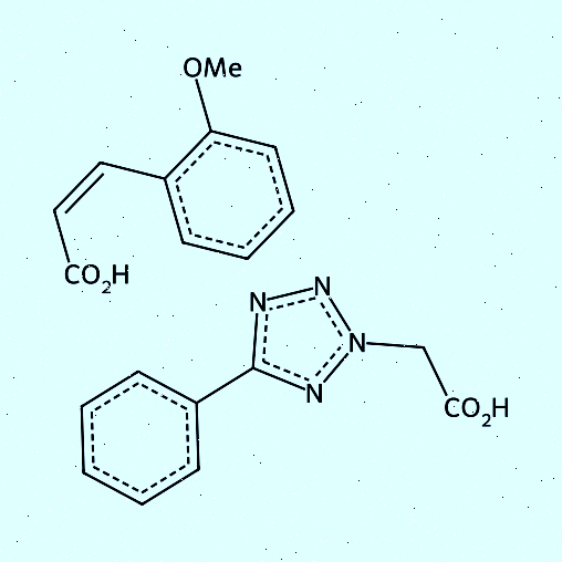 COc1ccccc1/C=C\C(=O)O.O=C(O)Cn1nnc(-c2ccccc2)n1